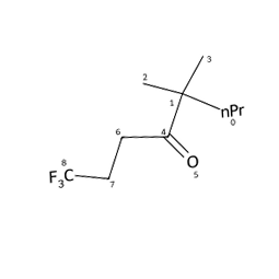 CCCC(C)(C)C(=O)CCC(F)(F)F